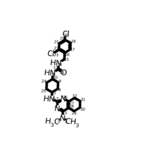 CN(C)c1nc(NC2CCC(NC(=O)NCc3ccc(Cl)cc3Cl)CC2)nc2c1CCCC2